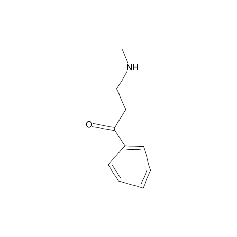 CNCCC(=O)c1ccccc1